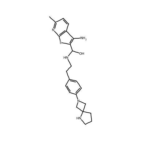 Cc1ccc2c(N)c(C(O)NCCc3ccc(N4CC5(CCCN5)C4)cc3)sc2n1